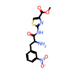 COC(=O)c1csc(NC(=O)C(N)Cc2cccc([N+](=O)[O-])c2)n1